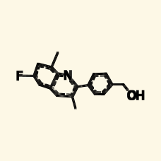 Cc1cc2cc(F)cc(C)c2nc1-c1ccc(CO)cc1